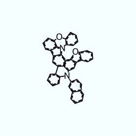 c1ccc2c(c1)Oc1cccc3c4cc(-c5ccccc5N(c5ccc6ccccc6c5)c5ccc6oc7ccccc7c6c5)ccc4n-2c13